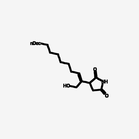 CCCCCCCCCCCCCCCCC=C(CO)C1CC(=O)NC1=O